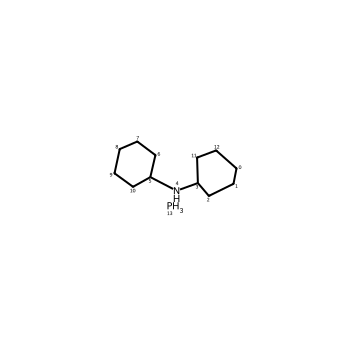 C1CCC(NC2CCCCC2)CC1.P